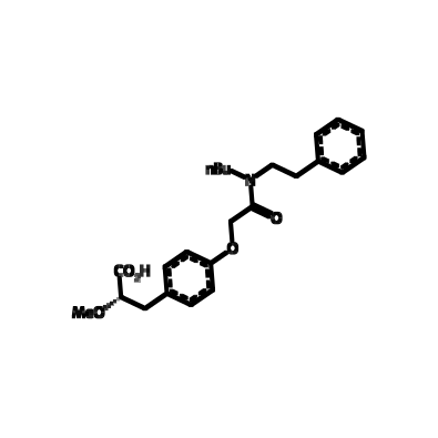 CCCCN(CCc1ccccc1)C(=O)COc1ccc(C[C@H](OC)C(=O)O)cc1